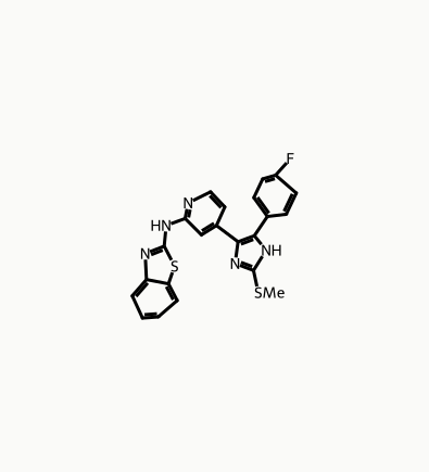 CSc1nc(-c2ccnc(Nc3nc4ccccc4s3)c2)c(-c2ccc(F)cc2)[nH]1